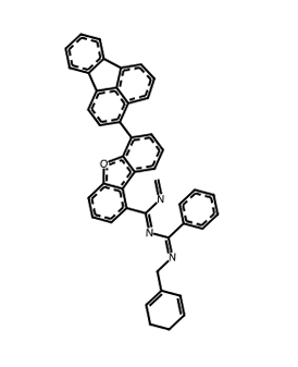 C=N/C(=N\C(=N/CC1=CCCC=C1)c1ccccc1)c1cccc2oc3c(-c4ccc5c6c(cccc46)-c4ccccc4-5)cccc3c12